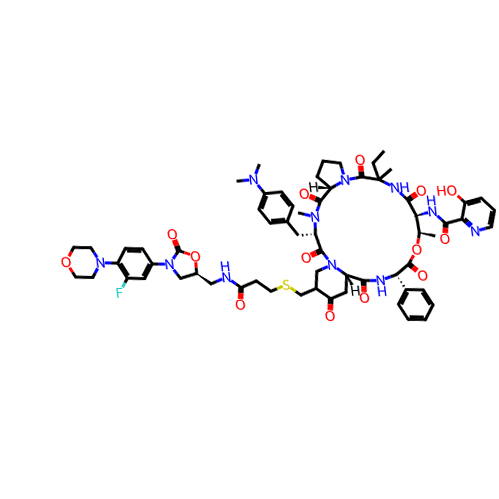 CCC1(C)NC(=O)[C@@H](NC(=O)c2ncccc2O)[C@@H](C)OC(=O)[C@H](c2ccccc2)NC(=O)[C@@H]2CC(=O)C(CSCCC(=O)NC[C@H]3CN(c4ccc(N5CCOCC5)c(F)c4)C(=O)O3)CN2C(=O)[C@H](Cc2ccc(N(C)C)cc2)N(C)C(=O)[C@@H]2CCCN2C1=O